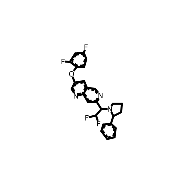 Fc1ccc(Oc2cnc3cc(C(C(F)F)N4CCCC4c4ccccc4)ncc3c2)c(F)c1